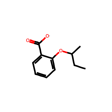 CCC(C)Oc1ccccc1C([O])=O